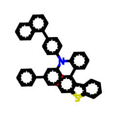 c1ccc(-c2cccc(N(c3ccc(-c4cccc5ccccc45)cc3)c3ccccc3-c3cccc4sc5ccccc5c34)c2)cc1